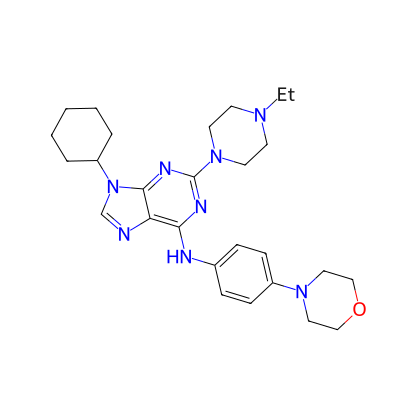 CCN1CCN(c2nc(Nc3ccc(N4CCOCC4)cc3)c3ncn(C4CCCCC4)c3n2)CC1